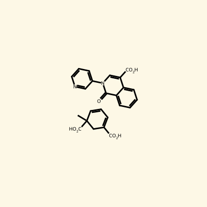 CC1(C(=O)O)C=CC=C(C(=O)O)C1.O=C(O)c1cn(-c2cccnc2)c(=O)c2ccccc12